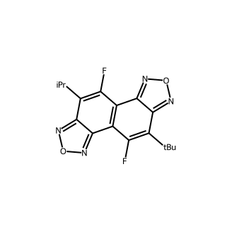 CC(C)c1c(F)c2c3nonc3c(C(C)(C)C)c(F)c2c2nonc12